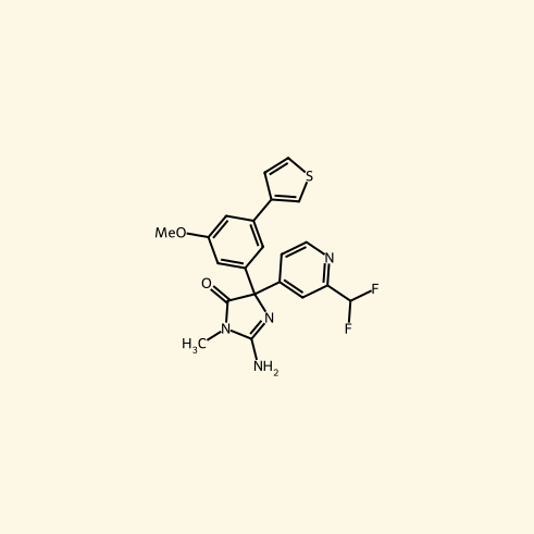 COc1cc(-c2ccsc2)cc(C2(c3ccnc(C(F)F)c3)N=C(N)N(C)C2=O)c1